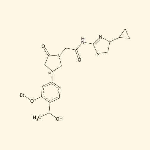 CCOc1cc([C@@H]2CC(=O)N(CC(=O)NC3=NC(C4CC4)CS3)C2)ccc1C(C)O